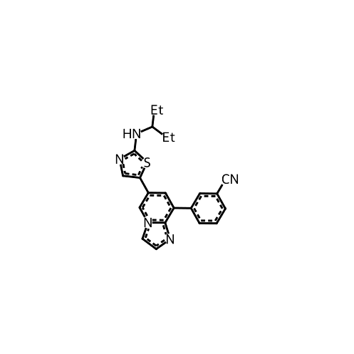 CCC(CC)Nc1ncc(-c2cc(-c3cccc(C#N)c3)c3nccn3c2)s1